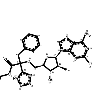 CCOC(=O)C(Cc1ccccc1)(OC[C@H]1O[C@@H](n2cnc3c(N)nc(Cl)nc32)[C@@H](F)[C@@H]1O)c1nnn[nH]1